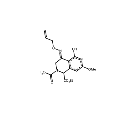 C=CCO/N=C1\CN(C(=O)C(F)(F)F)C(C(=O)OCC)c2cc(OC)nc(O)c21